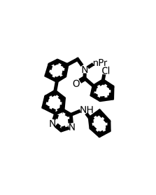 CCCN(Cc1cccc(-c2ccc3ncnc(Nc4ccccc4)c3c2)c1)C(=O)c1ccccc1Cl